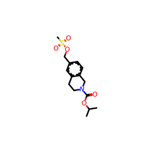 CC(C)OC(=O)N1CCc2cc(COS(C)(=O)=O)ccc2C1